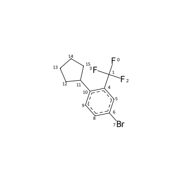 FC(F)(F)c1cc(Br)ccc1C1CCCC1